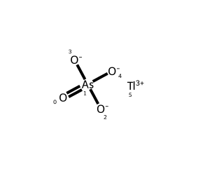 O=[As]([O-])([O-])[O-].[Tl+3]